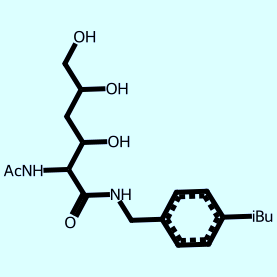 CCC(C)c1ccc(CNC(=O)C(NC(C)=O)C(O)CC(O)CO)cc1